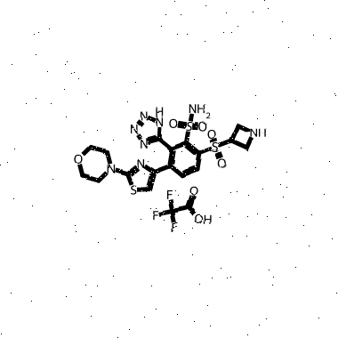 NS(=O)(=O)c1c(S(=O)(=O)C2CNC2)ccc(-c2csc(N3CCOCC3)n2)c1-c1nnn[nH]1.O=C(O)C(F)(F)F